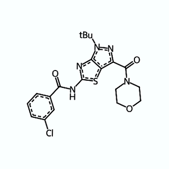 CC(C)(C)n1nc(C(=O)N2CCOCC2)c2sc(NC(=O)c3cccc(Cl)c3)nc21